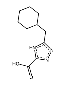 O=C(O)c1nnc(CC2CCCCC2)[nH]1